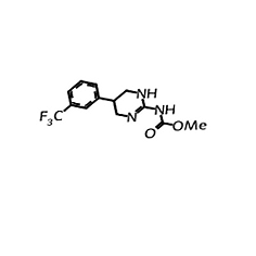 COC(=O)NC1=NCC(c2cccc(C(F)(F)F)c2)CN1